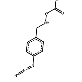 CC(C)(C)C(=O)ONCc1ccc(N=[N+]=[N-])cc1